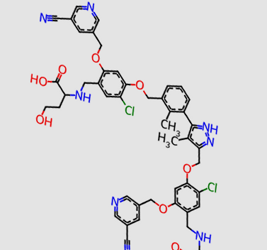 Cc1c(COc2cc(OCc3cncc(C#N)c3)c(CNC(CCO)C(=O)O)cc2Cl)cccc1-c1[nH]nc(COc2cc(OCc3cncc(C#N)c3)c(CNC(CCO)C(=O)O)cc2Cl)c1C